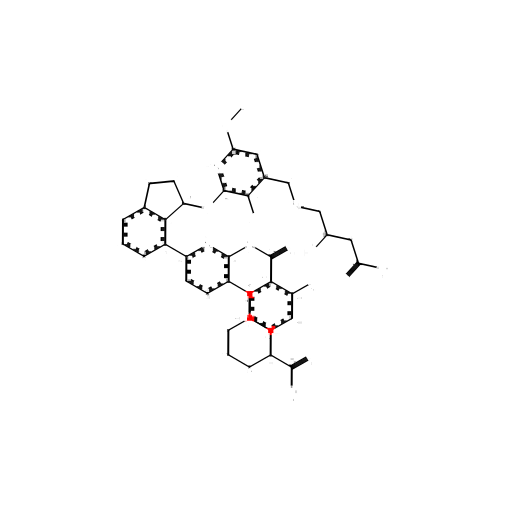 COc1cc(CNCC(O)CC(=O)O)c(Cl)c(OC2CCc3cccc(-c4ccc(CN5CCCC(C(=O)O)C5)c(NC(=O)c5ccccc5Cl)n4)c32)n1